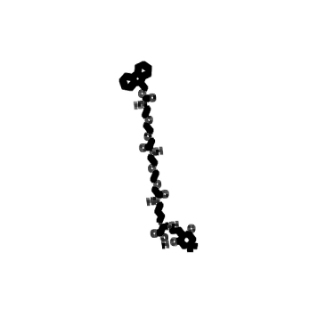 CC1(C)CC(=O)C(=CCN[C@@H](CCCCNC(=O)COCCOCCNC(=O)COCCOCCNC(=O)OCC2c3ccccc3-c3ccccc32)C(=O)O)C(=O)C1